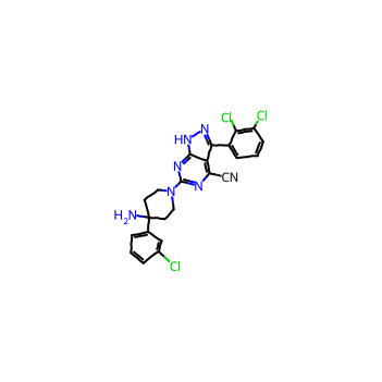 N#Cc1nc(N2CCC(N)(c3cccc(Cl)c3)CC2)nc2[nH]nc(-c3cccc(Cl)c3Cl)c12